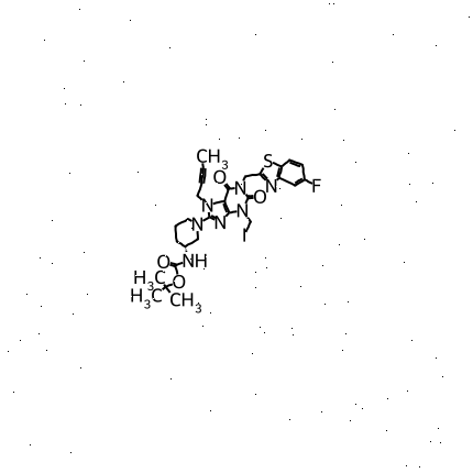 CC#CCn1c(N2CCC[C@@H](NC(=O)OC(C)(C)C)C2)nc2c1c(=O)n(Cc1nc3cc(F)ccc3s1)c(=O)n2CI